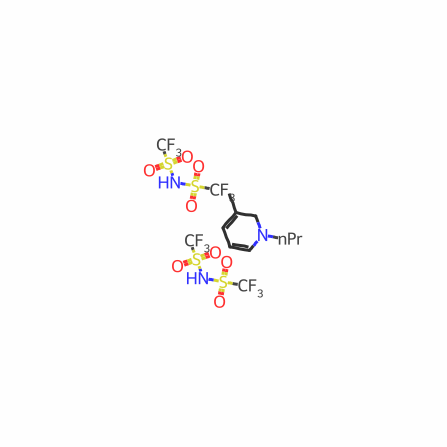 CCCN1C=CC=C(C)C1.O=S(=O)(NS(=O)(=O)C(F)(F)F)C(F)(F)F.O=S(=O)(NS(=O)(=O)C(F)(F)F)C(F)(F)F